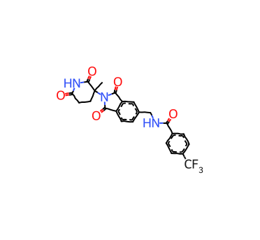 CC1(N2C(=O)c3ccc(CNC(=O)c4ccc(C(F)(F)F)cc4)cc3C2=O)CCC(=O)NC1=O